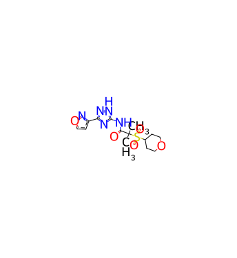 CC(C)(C(=O)Nc1nc(-c2ccon2)n[nH]1)S(=O)(=O)C1CCOCC1